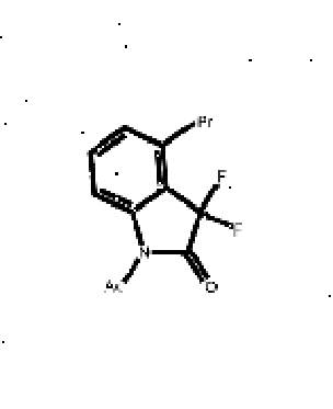 CC(=O)N1C(=O)C(F)(F)c2c(C(C)C)cccc21